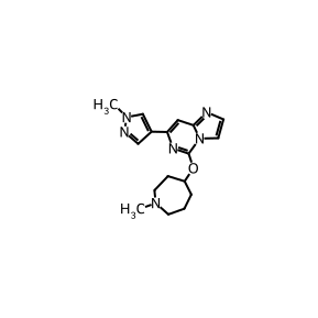 CN1CCCC(Oc2nc(-c3cnn(C)c3)cc3nccn23)CC1